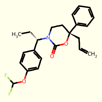 C=CC[C@]1(c2ccccc2)CCN([C@@H](CC)c2ccc(OC(F)F)cc2)C(=O)O1